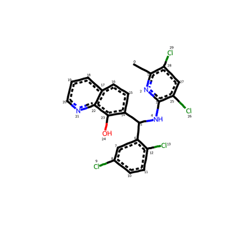 Cc1nc(NC(c2cc(Cl)ccc2Cl)c2ccc3cccnc3c2O)c(Cl)cc1Cl